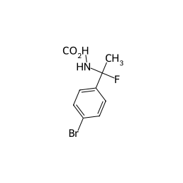 CC(F)(NC(=O)O)c1ccc(Br)cc1